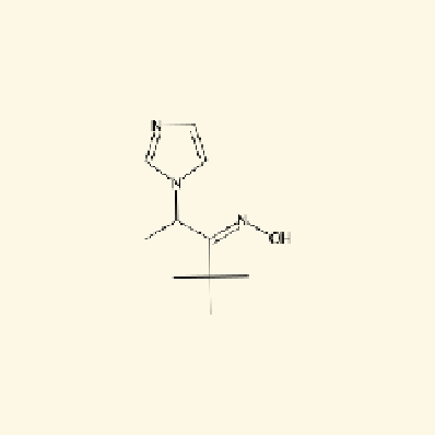 CC(C(=NO)C(C)(C)C)n1ccnc1